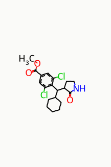 COC(=O)c1cc(Cl)c(C(C2CCCCC2)C2CCNC2=O)c(Cl)c1